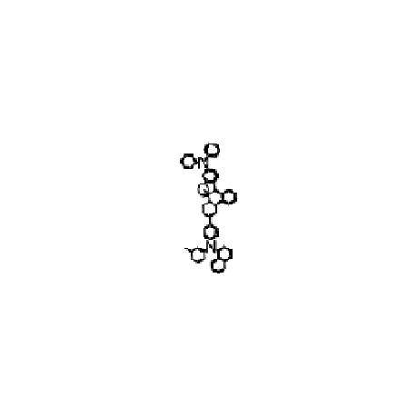 CC1C=C(N(c2ccc(C3=CC4=c5ccccc5=C5c6ccc(N(c7ccccc7)c7ccccc7)cc6OC5(C)C4C=C3)cc2)c2cccc3ccccc23)C=CC1